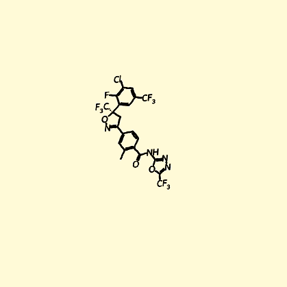 Cc1cc(C2=NO[C@](c3cc(C(F)(F)F)cc(Cl)c3F)(C(F)(F)F)C2)ccc1C(=O)Nc1nnc(C(F)(F)F)o1